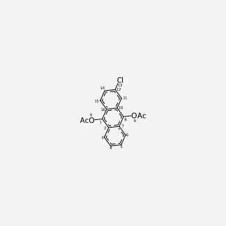 CC(=O)Oc1c2ccccc2c(OC(C)=O)c2cc(Cl)ccc12